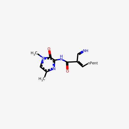 CCCCC/C=C(\C=N)C(=O)Nc1nc(C)cn(C)c1=O